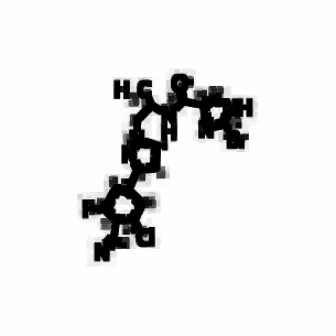 CC(Cn1ccc(-c2cc(F)c(C#N)c(Cl)c2)n1)NC(=O)c1c[nH]c(Br)n1